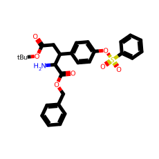 CC(C)(C)OC(=O)CC(c1ccc(OS(=O)(=O)c2ccccc2)cc1)C(N)C(=O)OCc1ccccc1